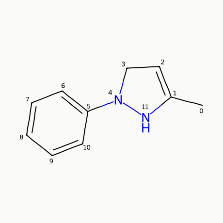 CC1=CCN(c2ccccc2)N1